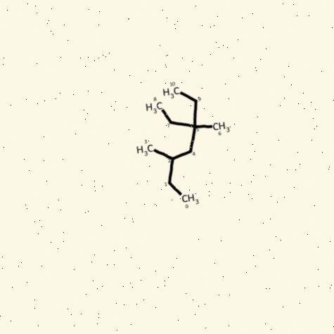 CCC(C)CC(C)(CC)CC